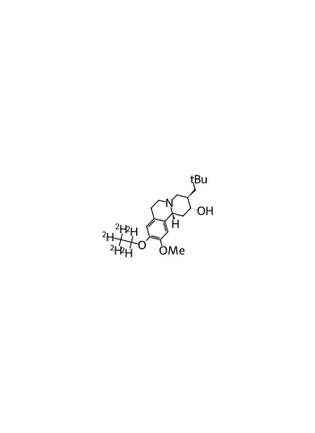 [2H]C([2H])([2H])C([2H])([2H])Oc1cc2c(cc1OC)[C@H]1C[C@@H](O)[C@H](CC(C)(C)C)CN1CC2